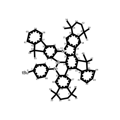 CC(C)(C)c1ccc(N2B3c4cc5c(cc4-n4c6cc7c(cc6c6c8c(c(c3c64)-c3cc4c(cc32)C(C)(C)CCC4(C)C)-c2ccccc2C8(C)C)C(C)(C)CCC7(C)C)-c2ccccc2C5(C)C)cc1